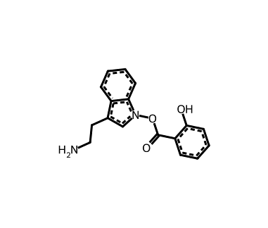 NCCc1cn(OC(=O)c2ccccc2O)c2ccccc12